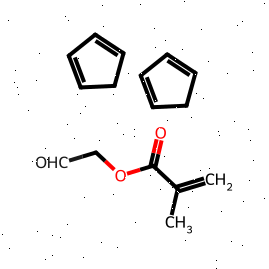 C1=CCC=C1.C1=CCC=C1.C=C(C)C(=O)OCC=O